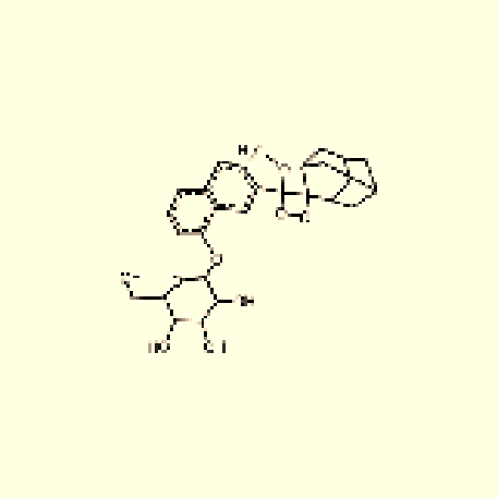 COC1(c2ccc3cccc(OC4OC(CO)C(O)C(O)C4O)c3c2)OOC12C1CC3CC(C1)CC2C3